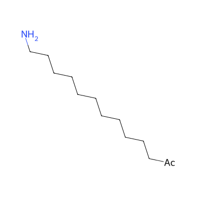 CC(=O)CCCCCCCCCCCN